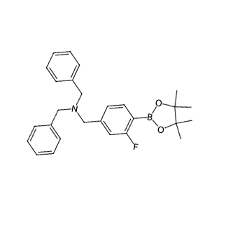 CC1(C)OB(c2ccc(CN(Cc3ccccc3)Cc3ccccc3)cc2F)OC1(C)C